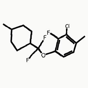 Cc1ccc(OC(F)(F)C2CCC(C)CC2)c(F)c1Cl